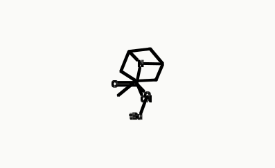 CC1(C#N)CC2CC(C1)N2C(=O)OC(C)(C)C